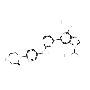 COc1nc(-c2ccnc(Nc3ccc(N4CCNCC4=O)nc3)n2)cc2c1ncn2C(C)C